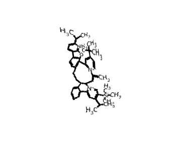 C=C1CC2C(CCc3ccc4c(oc5nc(C(C)C)ccc54)c3-c3cc(C(C)(C)C)cc[n+]31)c1ccccc1-c1cc(C(C)C)c([Si](C)(C)C)c[n+]12